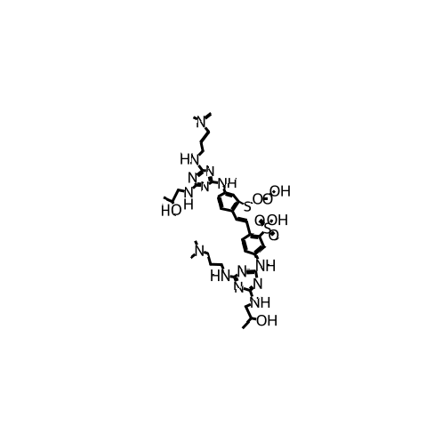 CC(O)CNc1nc(NCCCN(C)C)nc(Nc2ccc(/C=C/c3ccc(Nc4nc(NCCCN(C)C)nc(NCC(C)O)n4)cc3S(=O)(=O)O)c(SOOO)c2)n1